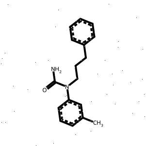 Cc1cccc(N(CCCc2ccccc2)C(N)=O)c1